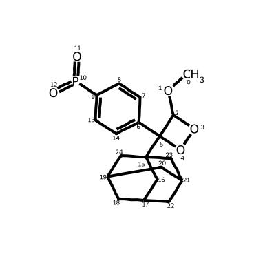 COC1OOC1(c1ccc(P(=O)=O)cc1)C12CC3CC(CC(C3)C1)C2